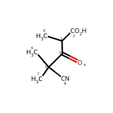 CC(C(=O)O)C(=O)C(C)(C)C#N